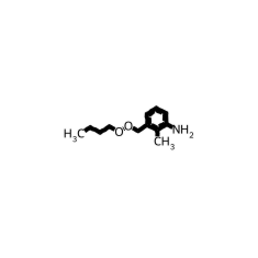 CCCCOOCc1cccc(N)c1C